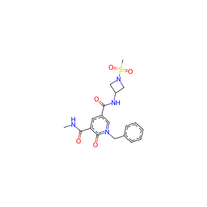 CNC(=O)c1cc(C(=O)NC2CN(S(C)(=O)=O)C2)cn(Cc2ccccc2)c1=O